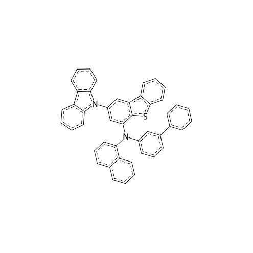 c1ccc(-c2cccc(N(c3cccc4ccccc34)c3cc(-n4c5ccccc5c5ccccc54)cc4c3sc3ccccc34)c2)cc1